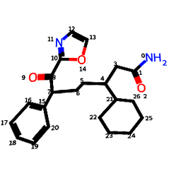 NC(=O)CC(CCC(C(=O)c1ncco1)c1ccccc1)C1CCCCC1